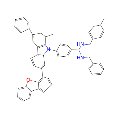 CC1C=CC(CNC(NCc2ccccc2)c2ccc(-n3c4c(c5ccc(-c6cccc7c6oc6ccccc67)cc53)C=C(c3ccccc3)CC4C)cc2)=CC1